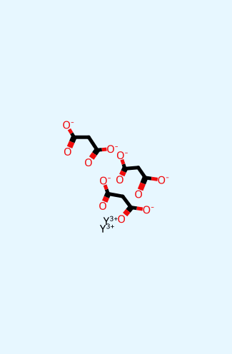 O=C([O-])CC(=O)[O-].O=C([O-])CC(=O)[O-].O=C([O-])CC(=O)[O-].[Y+3].[Y+3]